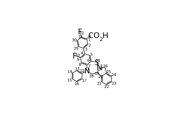 O=C(O)c1cc(-c2cc3c(cc2F)N(c2ccccc2)CC2c4ccccc4CN2S3)ccc1F